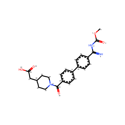 COC(=O)NC(=N)c1ccc(-c2ccc(C(=O)N3CCC(CC(=O)O)CC3)cc2)cc1